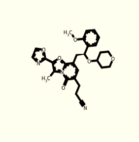 COc1ccccc1[C@H](Cc1cc(CCC#N)c(=O)n2c(C)c(-c3ncco3)oc12)OC1CCOCC1